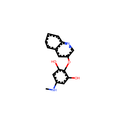 CNc1cc(O)c(Oc2cnc3ccccc3c2)c(O)c1